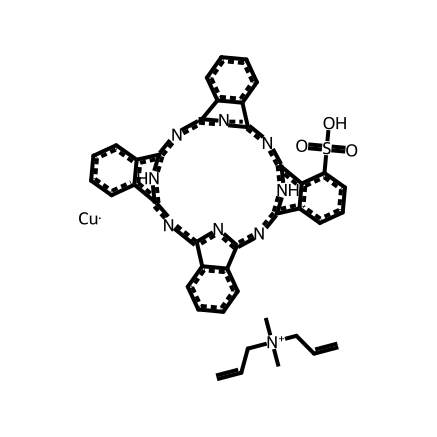 C=CC[N+](C)(C)CC=C.O=S(=O)(O)c1cccc2c3nc4nc(nc5[nH]c(nc6nc(nc([nH]3)c12)-c1ccccc1-6)c1ccccc51)-c1ccccc1-4.[Cu]